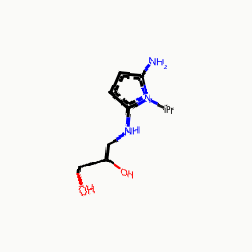 CC(C)n1c(N)ccc1NCC(O)CO